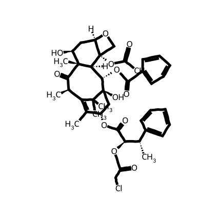 CC(=O)O[C@@]12CO[C@@H]1C[C@H](O)[C@@]1(C)C(=O)[C@H](C)C3=C(C)[C@@H](OC(=O)[C@H](OC(=O)CCl)[C@@H](C)c4ccccc4)C[C@@](O)([C@@H](OC(=O)c4ccccc4)[C@H]21)C3(C)C